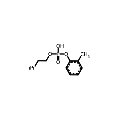 Cc1ccccc1OP(=O)(O)OCCC(C)C